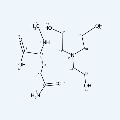 CN[C@H](CCC(N)=O)C(=O)O.OCCN(CCO)CCO